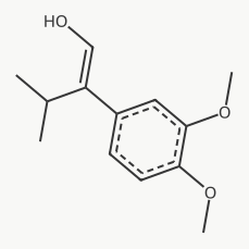 COc1ccc(/C(=C/O)C(C)C)cc1OC